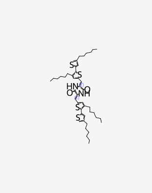 CCCCCCc1csc(-c2sc(/C=c3\[nH]c(=O)/c(=C/c4cc(CCCCCC)c(-c5cc(CCCCCC)cs5)s4)[nH]c3=O)cc2CCCCCC)c1